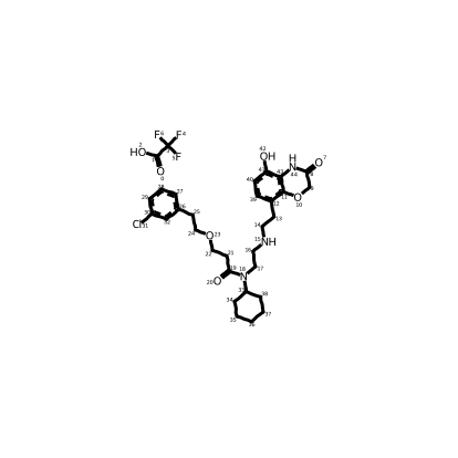 O=C(O)C(F)(F)F.O=C1COc2c(CCNCCN(C(=O)CCOCCc3cccc(Cl)c3)C3CCCCC3)ccc(O)c2N1